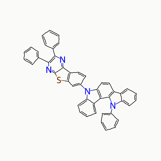 c1ccc(-c2nc3sc4cc(-n5c6ccccc6c6c5ccc5c7ccccc7n(-c7ccccc7)c56)ccc4c3nc2-c2ccccc2)cc1